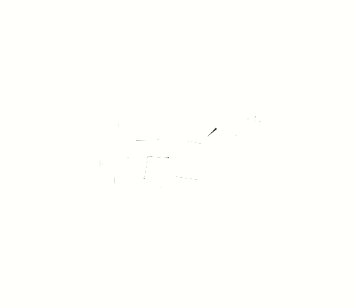 N#CCC[C@H]1CCC2O[C@@H]3CC2(C[C@@H](O)[C@H]3O)O1